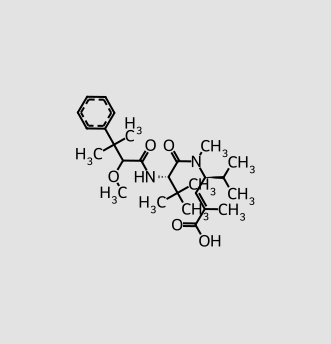 COC(C(=O)N[C@H](C(=O)N(C)[C@H](C=C(C)C(=O)O)C(C)C)C(C)(C)C)C(C)(C)c1ccccc1